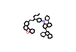 C=C/C=C\C(=C/Cc1ccc2ccc3oc4ccccc4c3c2c1)c1ccc(N(C2=CC=CCC2c2ccccc2)c2ccc(-c3cc4ccccc4c4c3CCC=C4)cc2)cc1